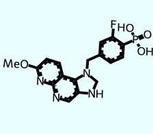 COc1ccc2c3c(cnc2n1)NCN3Cc1ccc(P(=O)(O)O)c(F)c1